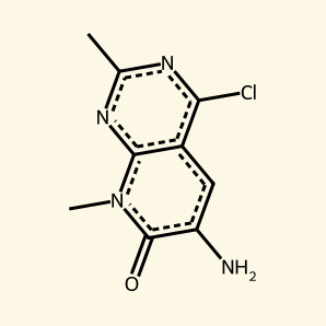 Cc1nc(Cl)c2cc(N)c(=O)n(C)c2n1